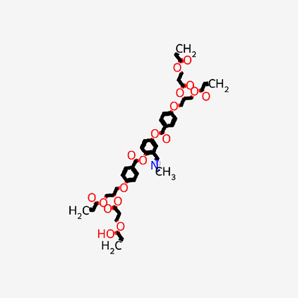 C=CC(=O)OCCC(=O)OC(COC(=O)C=C)COc1ccc(C(=O)Oc2ccc(OC(=O)c3ccc(OCC(COC(=O)C=C)OC(=O)CCOC(O)C=C)cc3)c(/C=N/C)c2)cc1